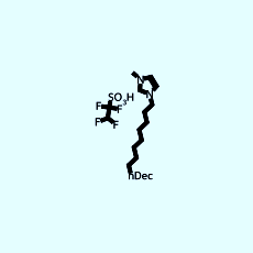 CCCCCCCCCCCCCCCCCCN1C=CN(C)C1.O=S(=O)(O)C(F)(F)C(F)F